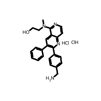 CN(CCO)c1nccc2nc(-c3ccc(CN)cc3)c(-c3ccccc3)cc12.Cl.Cl